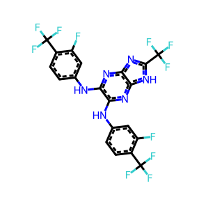 Fc1cc(Nc2nc3nc(C(F)(F)F)[nH]c3nc2Nc2ccc(C(F)(F)F)c(F)c2)ccc1C(F)(F)F